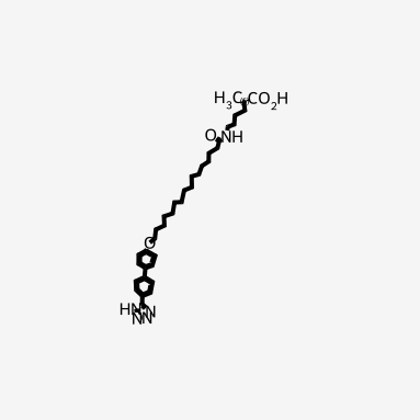 C[C@@H](CCCCNC(=O)CCCCCCCCCCCCCCCOc1ccc(-c2ccc(-c3nnn[nH]3)cc2)cc1)C(=O)O